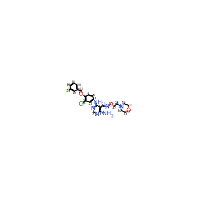 Nc1ncnc(Nc2ccc(OCc3cccc(F)c3)c(Cl)c2)c1/C=N/OCCN1CCOCC1